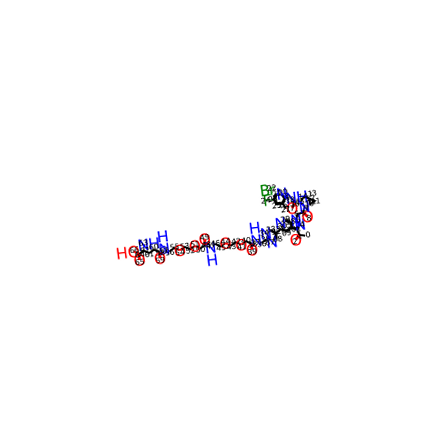 CC(=O)c1nn(CC(=O)N2C3C[C@]3(C)C[C@H]2C(=O)Nc2nc(Br)c(F)cc2C)c2cnc(-c3cnc(CNC(=O)COCCOCCNC(=O)COCCOCCNC(=O)CC[C@H](N)C(=O)O)nc3)cc12